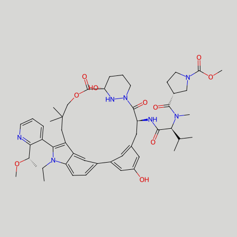 CCn1c(-c2cccnc2[C@H](C)OC)c2c3cc(ccc31)-c1cc(O)cc(c1)C[C@H](NC(=O)[C@H](C(C)C)N(C)C(=O)[C@@H]1CCN(C(=O)OC)C1)C(=O)N1CCC[C@@](O)(N1)C(=O)OCC(C)(C)C2